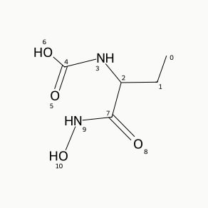 CCC(NC(=O)O)C(=O)NO